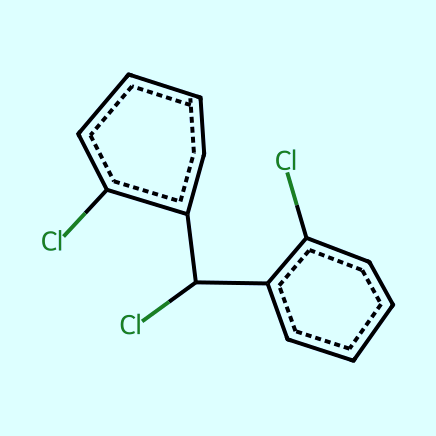 Clc1ccccc1C(Cl)c1ccccc1Cl